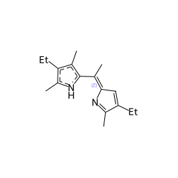 CCC1=C/C(=C(\C)c2[nH]c(C)c(CC)c2C)N=C1C